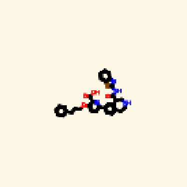 O=C(O)c1nc(-c2ccc3c(c2)C(C(=O)Nc2nc4ccccc4s2)CNCC3)ccc1OCCCc1ccccc1